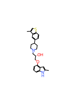 Cc1cc2c(OC[C@@H](O)CN3CCC(c4ccc5scc(C)c5c4)CC3)cccc2[nH]1